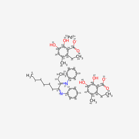 CCCCCCC(=Nc1ccccc1)C(CC)=Nc1ccccc1.CCc1c(C)cc(O)c(O)c1C(=O)[O-].CCc1c(C)cc(O)c(O)c1C(=O)[O-].[Pd+2]